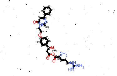 CCOC(CC(=O)OC(=O)[C@@H](N)CCCNC(=N)N)c1ccc(OCCn2c(CC)nc(-c3ccccc3)cc2=O)cc1